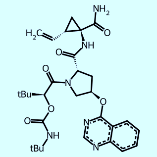 C=C[C@@H]1C[C@]1(NC(=O)[C@@H]1C[C@@H](Oc2ncnc3ccccc23)CN1C(=O)[C@@H](OC(=O)NC(C)(C)C)C(C)(C)C)C(N)=O